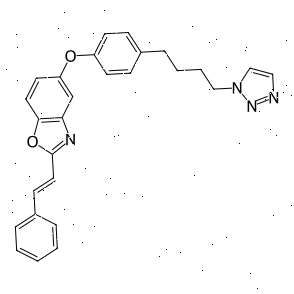 C(=C\c1nc2cc(Oc3ccc(CCCCn4ccnn4)cc3)ccc2o1)/c1ccccc1